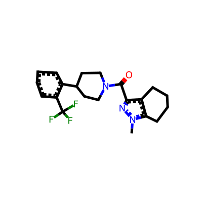 Cn1nc(C(=O)N2CCC(c3ccccc3C(F)(F)F)CC2)c2c1CCCC2